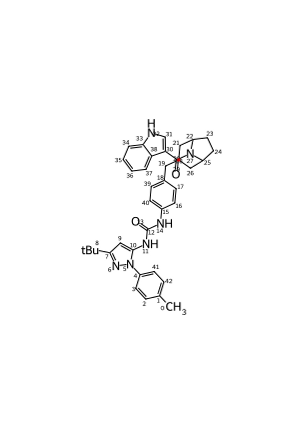 Cc1ccc(-n2nc(C(C)(C)C)cc2NC(=O)Nc2ccc(CC3CC4CCC(C3)N4C(=O)c3c[nH]c4ccccc34)cc2)cc1